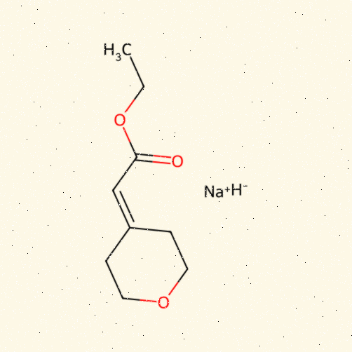 CCOC(=O)C=C1CCOCC1.[H-].[Na+]